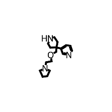 c1cncc(C2(COCCN3CCCC3)CCNCC2)c1